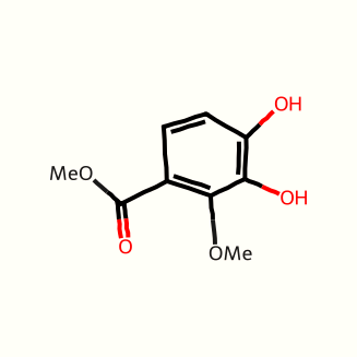 COC(=O)c1ccc(O)c(O)c1OC